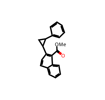 COC(=O)c1c(C2CC2c2ccccc2)ccc2ccccc12